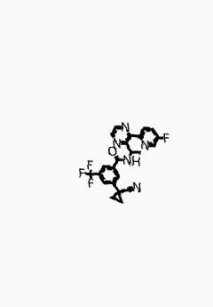 CC(NC(=O)c1cc(C(F)(F)F)cc(C2(C#N)CC2)c1)c1nccnc1-c1ccc(F)cn1